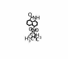 CCN(CC(C)C)S(=O)(=O)c1ccc2c3c(cccc13)C(=O)N2